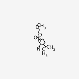 COCCOC(=O)N1CCC(C(C)C)C(C#N)C1